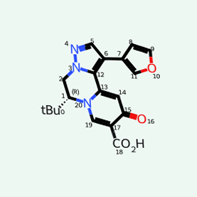 CC(C)(C)[C@@H]1Cn2ncc(-c3ccoc3)c2-c2cc(=O)c(C(=O)O)cn21